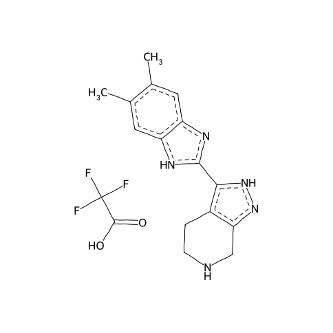 Cc1cc2nc(-c3[nH]nc4c3CCNC4)[nH]c2cc1C.O=C(O)C(F)(F)F